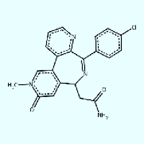 Cn1cc2c(cc1=O)C(CC(N)=O)N=C(c1ccc(Cl)cc1)c1ncccc1-2